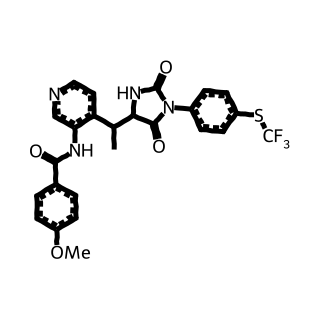 COc1ccc(C(=O)Nc2cnccc2C(C)C2NC(=O)N(c3ccc(SC(F)(F)F)cc3)C2=O)cc1